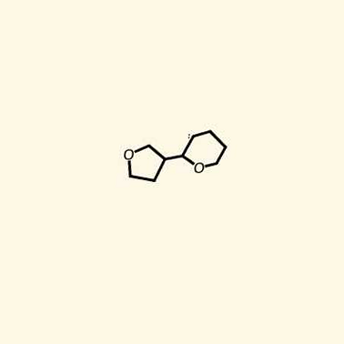 [C]1CCCOC1C1CCOC1